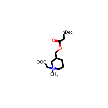 CCCCCCCCCCCC(=O)OCC1CCC[N+](C)(CC(=O)[O-])C1